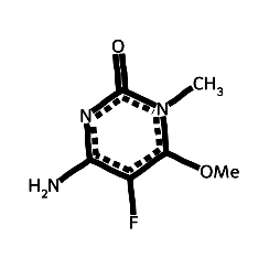 COc1c(F)c(N)nc(=O)n1C